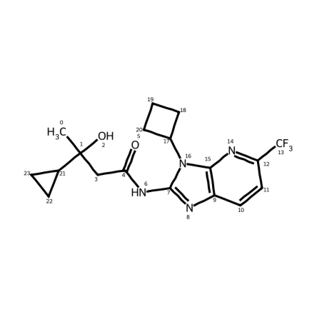 CC(O)(CC(=O)Nc1nc2ccc(C(F)(F)F)nc2n1C1CCC1)C1CC1